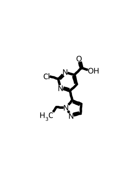 CCn1nccc1-c1cc(C(=O)O)nc(Cl)n1